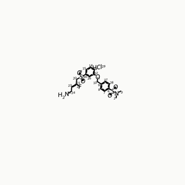 CN(C)S(=O)(=O)c1ccc(COc2cccc(S(=O)(=O)CC(F)=CCN)c2)cc1.Cl